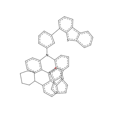 c1cc(-c2cccc3c2sc2ccccc23)cc(N(c2ccccc2-c2cccc3cccc(C4CCCCC4)c23)c2cccc3c2sc2ccccc23)c1